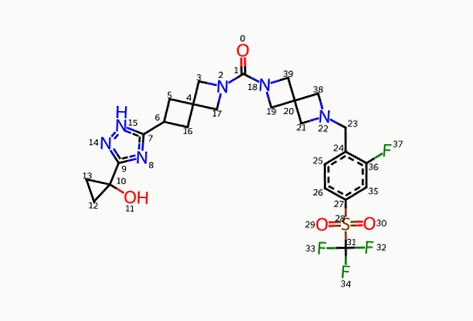 O=C(N1CC2(CC(c3nc(C4(O)CC4)n[nH]3)C2)C1)N1CC2(CN(Cc3ccc(S(=O)(=O)C(F)(F)F)cc3F)C2)C1